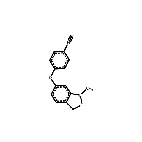 [C-]#[N+]c1ccc(Oc2ccc3c(c2)B(C)OC3)cc1